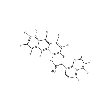 OB(Oc1ccc(F)c2c(F)c(F)c(F)cc12)Oc1c(F)c(F)c(F)c2c(F)c3c(F)c(F)c(F)c(F)c3c(F)c12